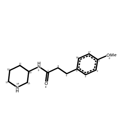 COc1ccc(CCC(=O)NC2CCCNC2)cc1